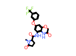 CN1C(=O)CCC1C(=O)Nc1cc(Oc2cccc(C(F)(F)F)c2)cc2c1NC(=O)CO2